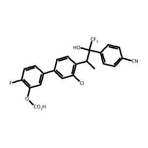 CC(c1ccc(-c2ccc(F)c(OC(=O)O)c2)cc1Cl)C(O)(c1ccc(C#N)cc1)C(F)(F)F